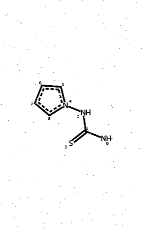 [NH]C(=S)Nn1cccc1